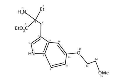 CCOC(=O)C(N)(CC)Cc1c[nH]c2ccc(OCCOC)cc12